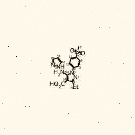 CCc1nn(-c2ccc(S(C)(=O)=O)cc2)c(N)c1C(=O)O.c1cn[nH]c1